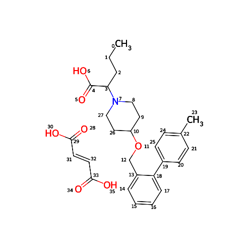 CCCC(C(=O)O)N1CCC(OCc2ccccc2-c2ccc(C)cc2)CC1.O=C(O)C=CC(=O)O